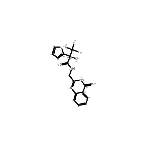 O=C(NCc1nc2ccccc2c(=O)[nH]1)[C@](O)(c1cccs1)C(F)(F)F